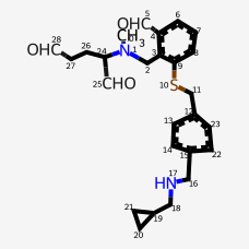 CN(Cc1c(C=O)cccc1SCc1ccc(CNCC2CC2)cc1)C(C=O)CCC=O